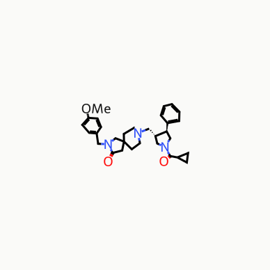 COc1ccc(CN2CC3(CCN(C[C@H]4CN(C(=O)C5CC5)C[C@@H]4c4ccccc4)CC3)CC2=O)cc1